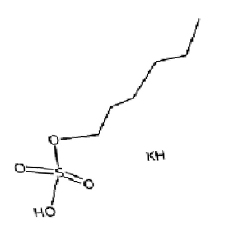 CCCCCCOS(=O)(=O)O.[KH]